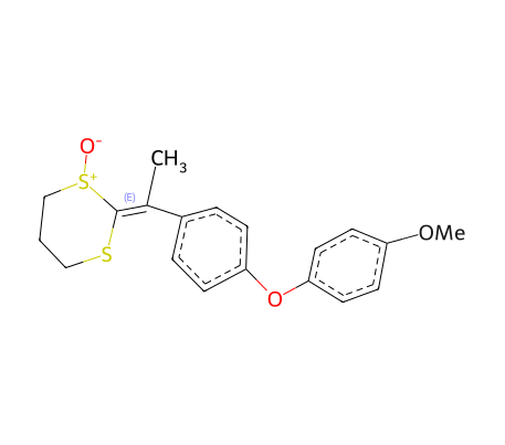 COc1ccc(Oc2ccc(/C(C)=C3\SCCC[S+]3[O-])cc2)cc1